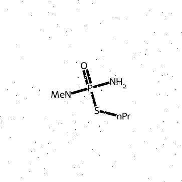 CCCSP(N)(=O)NC